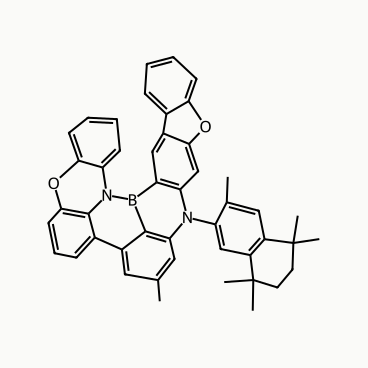 Cc1cc2c3c(c1)N(c1cc4c(cc1C)C(C)(C)CCC4(C)C)c1cc4oc5ccccc5c4cc1B3N1c3ccccc3Oc3cccc-2c31